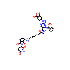 CC1(C)OC(=O)c2ccc(Nc3ncc(-c4nnc(CCCCCCCCNc5cccc6c5C(=O)N(C5CCC(=O)NC5=O)C6=O)o4)c(N[C@H](CO)c4ccccc4)n3)cc21